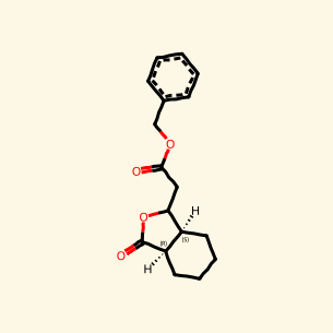 O=C(CC1OC(=O)[C@@H]2CCCC[C@H]12)OCc1ccccc1